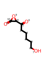 O=C(CCCCCO)C1OC1=O